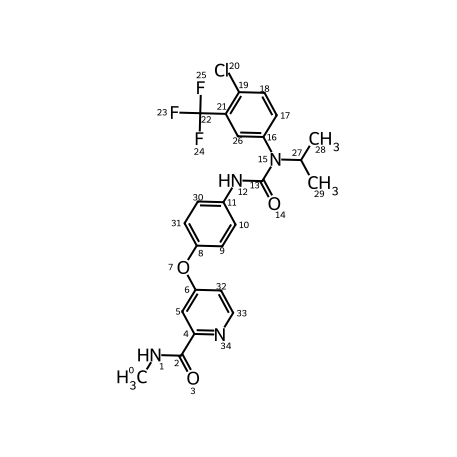 CNC(=O)c1cc(Oc2ccc(NC(=O)N(c3ccc(Cl)c(C(F)(F)F)c3)C(C)C)cc2)ccn1